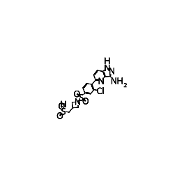 Nc1n[nH]c2ccc(-c3ccc(S(=O)(=O)N4CC(C[SH](=O)=O)C4)cc3Cl)nc12